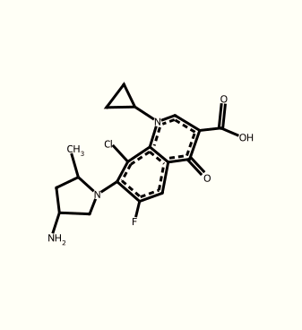 CC1CC(N)CN1c1c(F)cc2c(=O)c(C(=O)O)cn(C3CC3)c2c1Cl